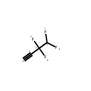 C#CC(F)(F)C(F)F